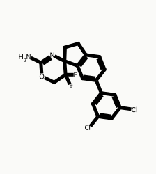 NC1=NC2(CCc3ccc(-c4cc(Cl)cc(Cl)c4)cc32)C(F)(F)CO1